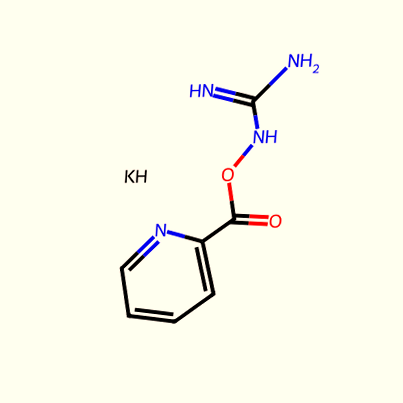 N=C(N)NOC(=O)c1ccccn1.[KH]